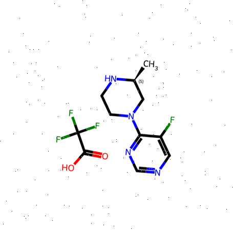 C[C@H]1CN(c2ncncc2F)CCN1.O=C(O)C(F)(F)F